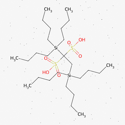 CCCC[Si](CCCC)(CCCC)CC([Si](CCCC)(CCCC)CCCC)(S(=O)(=O)O)S(=O)(=O)O